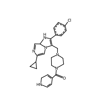 O=C(C1=CCNC=C1)N1CCN(CC2=C(c3ccc(Cl)cc3)NC3C=NC(C4CC4)=CN23)CC1